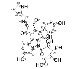 O=C1c2c(c3c4ccc(O)cc4n(C4OC(CO)C(O)C(O)C4O)c3c3[nH]c4cc(O)ccc4c23)C(=O)N1NCC1=CCCN1